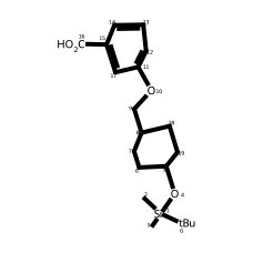 CC(C)(C)[Si](C)(C)OC1CCC(COc2cccc(C(=O)O)c2)CC1